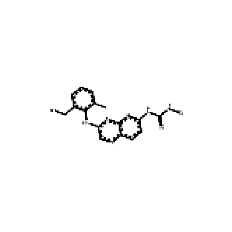 CCNC(=O)Nc1ccc2ncc(Nc3c(C)cccc3CO)nc2n1